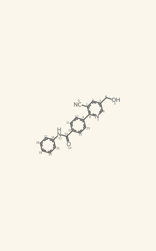 N#Cc1cc(CO)cnc1-c1ccc(C(=O)Nc2[c]cccc2)cc1